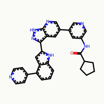 O=C(Nc1cncc(-c2cnc3[nH]nc(-c4cc5c(-c6ccncc6)cccc5[nH]4)c3c2)c1)C1CCCC1